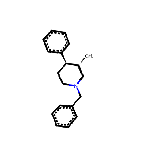 C[C@@H]1CN(Cc2ccccc2)CC[C@H]1c1ccccc1